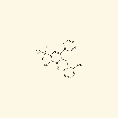 Cc1ccccc1Cn1c(-c2cnccn2)cc(C(F)(F)C(F)(F)F)c(C#N)c1=O